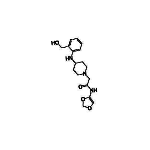 O=C(CN1CCC(Nc2ccccc2CO)CC1)NC1=COCO1